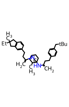 C=C(CCc1ccc(CC(C)(C)C)cc1)NC12CCC(CC1C)N(C(=C)CCc1ccc3c(c1)CC(C)(CC)C3)C2